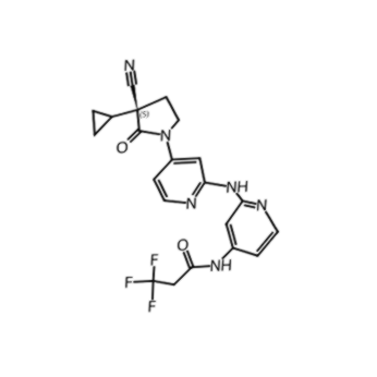 N#C[C@@]1(C2CC2)CCN(c2ccnc(Nc3cc(NC(=O)CC(F)(F)F)ccn3)c2)C1=O